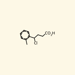 Cc1ccccc1C(Cl)CCC(=O)O